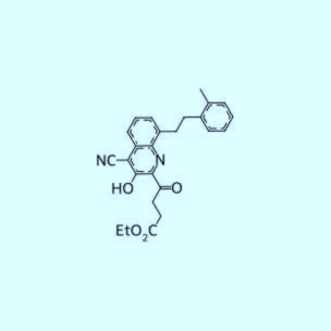 CCOC(=O)CCC(=O)c1nc2c(CCc3ccccc3C)cccc2c(C#N)c1O